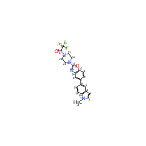 Cn1ccc2cc(-c3ccc4oc(N5CCN(C(=O)C(F)(F)F)CC5)nc4c3)ccc21